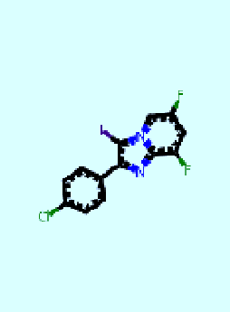 Fc1cc(F)c2nc(-c3ccc(Cl)cc3)c(I)n2c1